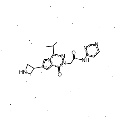 CC(C)c1nn(CC(=O)Nc2ccncn2)c(=O)c2cc(C3CNC3)cn12